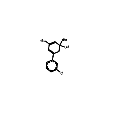 CC(C)(C)C1=CC(O)(C(C)(C)C)CC(c2cccc(Cl)c2)=C1